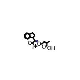 CC1=CC(O/C=C(\C(=O)N(C)C)C2CCc3ccccc32)OC1O